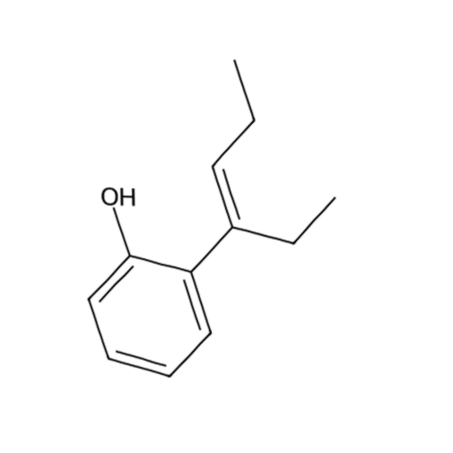 CCC=C(CC)c1ccccc1O